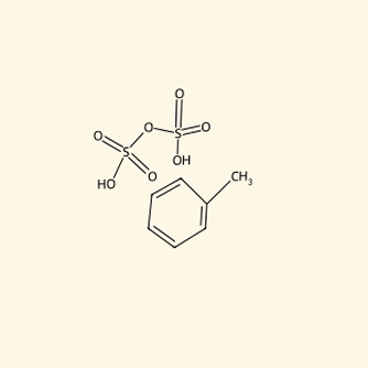 Cc1ccccc1.O=S(=O)(O)OS(=O)(=O)O